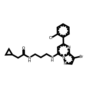 O=C(CC1CC1)NCCCNc1cc(-c2ccccc2Cl)nc2c(Br)cnn12